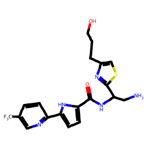 NCC(NC(=O)c1ccc(-c2ccc(C(F)(F)F)cn2)[nH]1)c1nc(CCCO)cs1